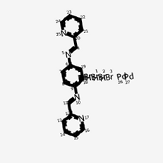 Br.Br.Br.Br.C(=Nc1ccc(N=Cc2ccccn2)cc1)c1ccccn1.[Pd].[Pd]